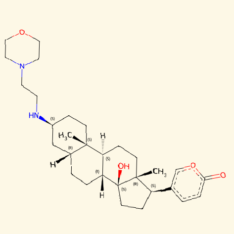 C[C@]12CC[C@H](NCCN3CCOCC3)C[C@H]1CC[C@@H]1[C@@H]2CC[C@]2(C)[C@@H](c3ccc(=O)oc3)CC[C@]12O